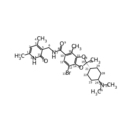 Cc1cc(C)c(CNC(=O)c2cc(Br)c3c(c2C)OC(C)([C@H]2CC[C@H](N(C)C)CC2)O3)c(=O)[nH]1